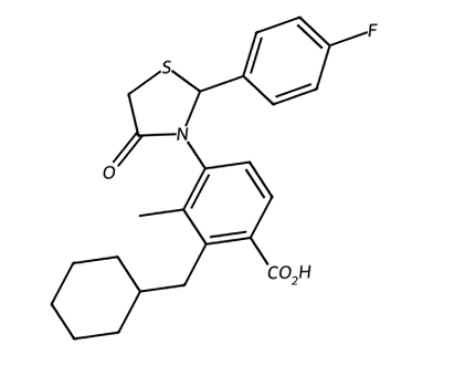 Cc1c(N2C(=O)CSC2c2ccc(F)cc2)ccc(C(=O)O)c1CC1CCCCC1